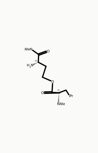 CNC(=O)[C@@H](N)CCOC(=O)[C@H](CC(C)C)NC